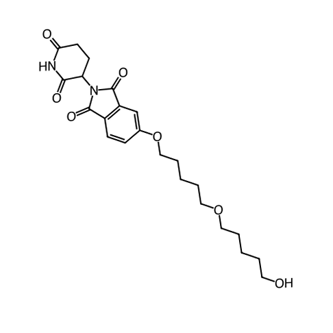 O=C1CCC(N2C(=O)c3ccc(OCCCCCOCCCCCO)cc3C2=O)C(=O)N1